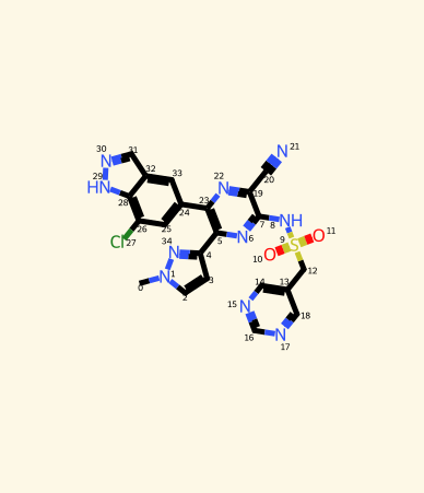 Cn1ccc(-c2nc(NS(=O)(=O)Cc3cncnc3)c(C#N)nc2-c2cc(Cl)c3[nH]ncc3c2)n1